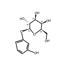 OC[C@H]1O[C@@H](Oc2cccc(O)c2)[C@H](O)[C@@H](O)[C@H]1O